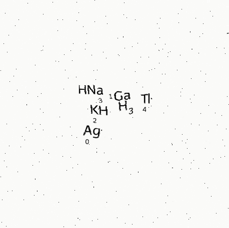 [Ag].[GaH3].[KH].[NaH].[Tl]